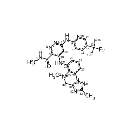 CNC(=O)c1nnc(Nc2ccc(C(F)(F)F)cn2)cc1Nc1cccc2c1N(C)Cc1nc(C)nn1-2